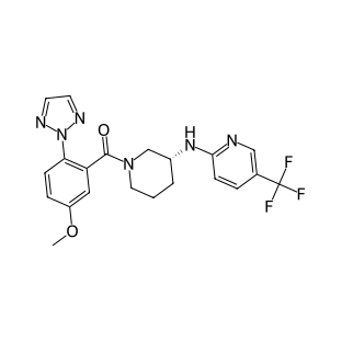 COc1ccc(-n2nccn2)c(C(=O)N2CCC[C@@H](Nc3ccc(C(F)(F)F)cn3)C2)c1